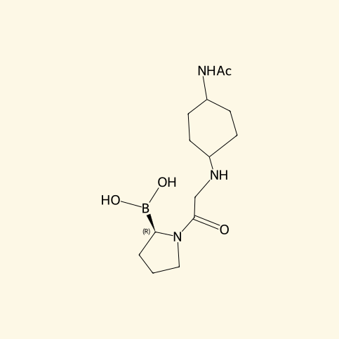 CC(=O)NC1CCC(NCC(=O)N2CCC[C@H]2B(O)O)CC1